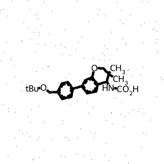 CC(C)(C)OCc1ccc(-c2ccc3c(c2)OCC(C)(C)C3NC(=O)O)cc1